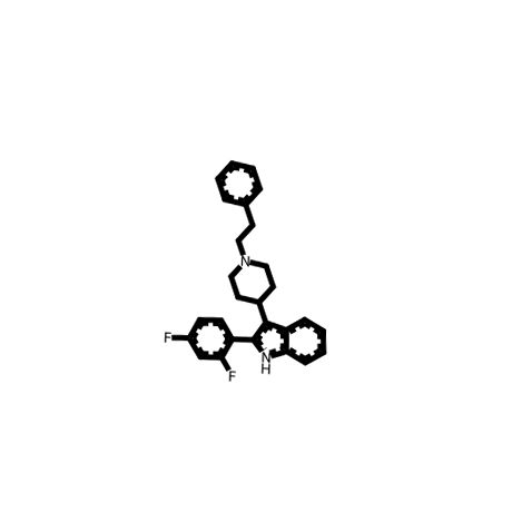 Fc1ccc(-c2[nH]c3ccccc3c2C2CCN(CCc3ccccc3)CC2)c(F)c1